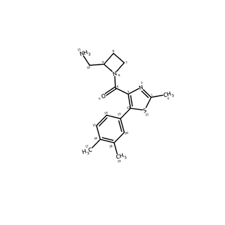 Cc1nc(C(=O)N2CCC2CN)c(-c2ccc(C)c(C)c2)s1